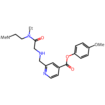 CCN(CCNC)C(=O)CNCc1cc(C(=O)Oc2ccc(OC)cc2)ccn1